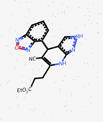 CCOC(=O)CCC1=C(C#N)C(c2cccc3nonc23)c2c[nH]nc2N1